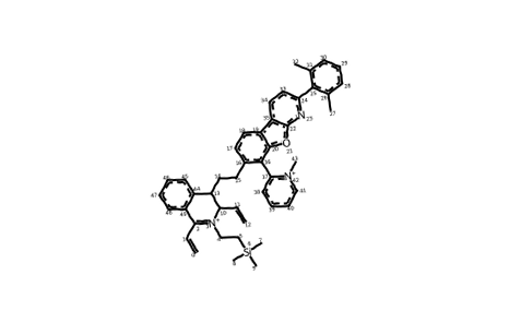 C=CC1=[N+](CC[Si](C)(C)C)C(C=C)C(CCc2ccc3c(oc4nc(-c5c(C)cccc5C)ccc43)c2-c2cccc[n+]2C)c2ccccc21